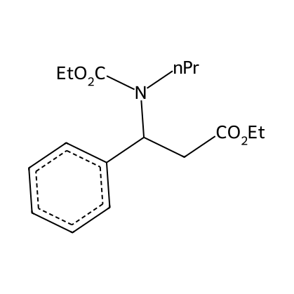 CCCN(C(=O)OCC)C(CC(=O)OCC)c1ccccc1